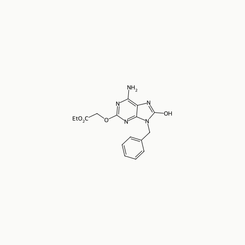 CCOC(=O)COc1nc(N)c2nc(O)n(Cc3ccccc3)c2n1